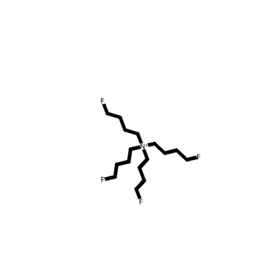 FCCCC[N+](CCCCF)(CCCCF)CCCCF